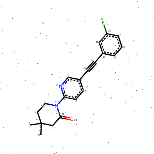 CC1(C)CCN(c2ccc(C#Cc3cccc(F)c3)cn2)C(=O)C1